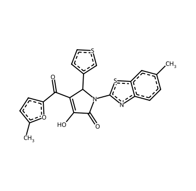 Cc1ccc2nc(N3C(=O)C(O)=C(C(=O)c4ccc(C)o4)C3c3ccsc3)sc2c1